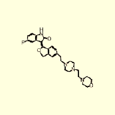 O=C1Nc2ccc(F)cc2/C1=C1\OCc2cc(CCN3CCN(CCN4CCOCC4)CC3)ccc21